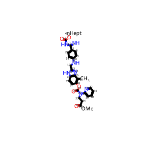 CCCCCCCOC(=O)NC(=N)c1ccc(NCc2nc3c(C)c(OC(=O)N(CCC(=O)OC)c4ccccn4)ccc3[nH]2)cc1